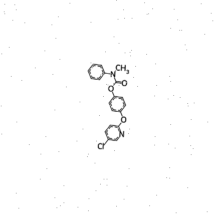 CN(C(=O)Oc1ccc(Oc2ccc(Cl)cn2)cc1)c1ccccc1